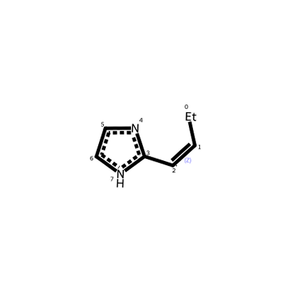 CC/C=[C]\c1ncc[nH]1